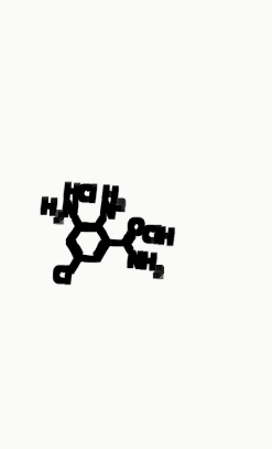 Cl.Cl.NC(=O)c1cc(Cl)cc(N)c1N